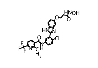 Cc1nc(C(F)(F)F)ccc1C(=O)Nc1ccc(Cl)c(-c2nc3cc(OCCC(=O)NO)ccc3[nH]2)c1